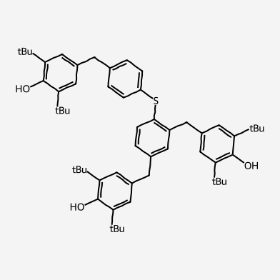 CC(C)(C)c1cc(Cc2ccc(Sc3ccc(Cc4cc(C(C)(C)C)c(O)c(C(C)(C)C)c4)cc3Cc3cc(C(C)(C)C)c(O)c(C(C)(C)C)c3)cc2)cc(C(C)(C)C)c1O